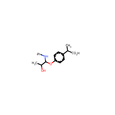 CC(C)NC(Oc1ccc(C(C)C(=O)O)cc1)C(C)O